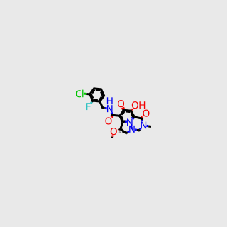 CO[C@H]1CN2CN(C)C(=O)c3c(O)c(=O)c(C(=O)NCc4cccc(Cl)c4F)c1n32